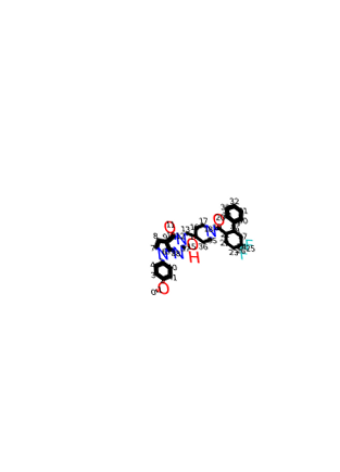 COc1ccc(-n2ccc3c(=O)n(CC4(O)CCN(C(=O)C5CCC(F)(F)CC5c5ccccc5)CC4)cnc32)cc1